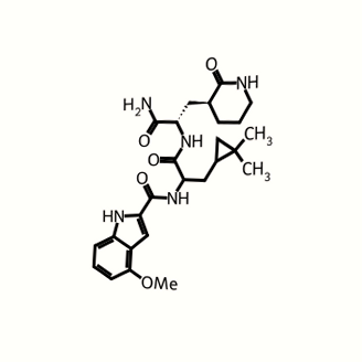 COc1cccc2[nH]c(C(=O)NC(CC3CC3(C)C)C(=O)N[C@@H](C[C@@H]3CCCNC3=O)C(N)=O)cc12